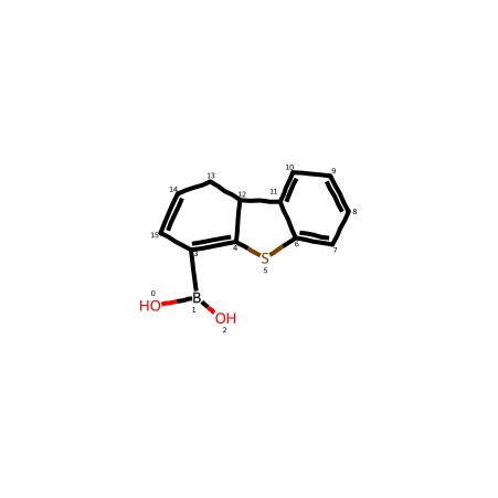 OB(O)C1=C2Sc3ccccc3C2CC=C1